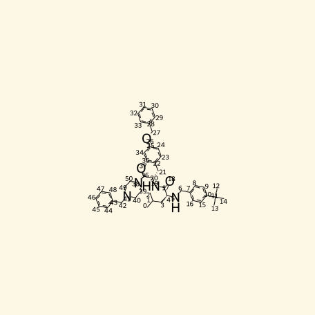 CC(C)C[C@H](NCc1ccc(C(C)(C)C)cc1)C(=O)N[C@@H](Cc1ccc(OCc2ccccc2)cc1)C(=O)N1CCN(Cc2ccccc2)CC1